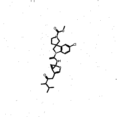 C=C(NC12C=C1C(CC(=O)C(C)C(C)C)=CS2)N1CC2(CCN(C(=O)OC)C2)c2cc(Cl)ccc21